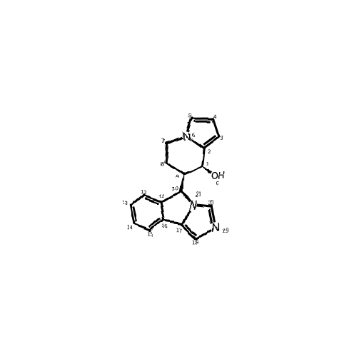 O[C@@H]1c2cccn2CC[C@@H]1C1c2ccccc2-c2cncn21